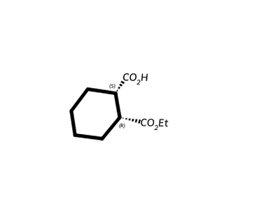 CCOC(=O)[C@@H]1CCCC[C@@H]1C(=O)O